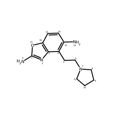 Nc1nc2c(CCN3CCCC3)c(N)ccc2o1